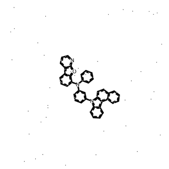 c1ccc(N(c2cccc(-n3c4ccccc4c4c5ccccc5ccc43)c2)c2cccc3c2oc2ncccc23)cc1